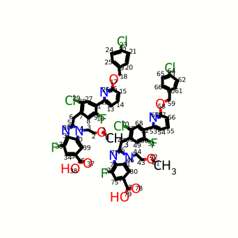 COCCn1c(Cc2cc(F)c(-c3cccc(OCc4ccc(Cl)cc4)n3)cc2Cl)nc2c(F)cc(C(=O)O)cc21.COCCn1c(Cc2cc(F)c(-c3cccc(OCc4ccc(Cl)cc4)n3)cc2Cl)nc2c(F)cc(C(=O)O)cc21